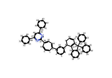 C1=CC(c2cccc(C3CC=CC4=C3c3ccccc3C4(c3ccccc3)c3ccccc3)c2)=CC=C(c2nc(-c3ccccc3)cc(-c3ccccc3)n2)C=1